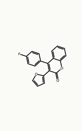 O=c1oc2ccccc2c(-c2ccc(F)cc2)c1-c1ccco1